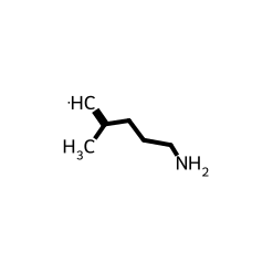 [CH]=C(C)CCCN